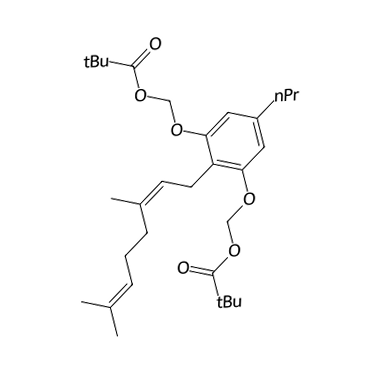 CCCc1cc(OCOC(=O)C(C)(C)C)c(CC=C(C)CCC=C(C)C)c(OCOC(=O)C(C)(C)C)c1